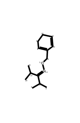 CC(C)C(=NOCC1=CCCC=C1)C(C)C